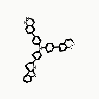 c1ccc2c(c1)sc1nc(-c3ccc(N(c4ccc(-c5ccc6nnccc6c5)cc4)c4ccc(-c5ccc6nnccc6c5)cc4)cc3)ccc12